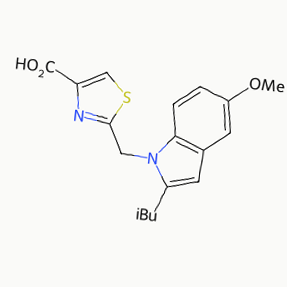 CCC(C)c1cc2cc(OC)ccc2n1Cc1nc(C(=O)O)cs1